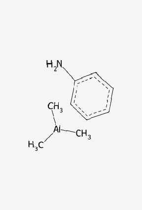 Nc1ccccc1.[CH3][Al]([CH3])[CH3]